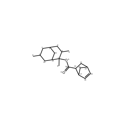 CC1CC2CC(C)C(C)(OC(=O)C3CC4C=CC3C4)C(C1)C2